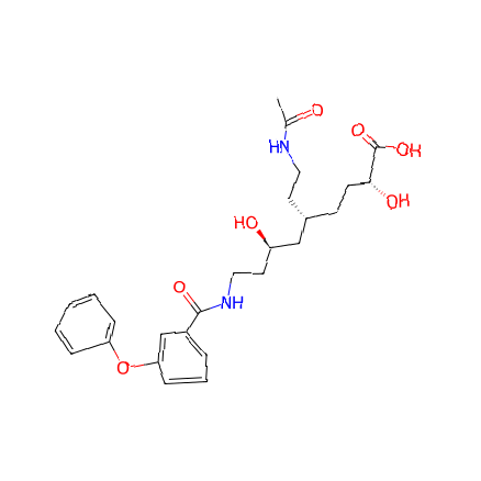 CC(=O)NCC[C@H](CC[C@@H](O)C(=O)O)C[C@H](O)CCNC(=O)c1cccc(Oc2ccccc2)c1